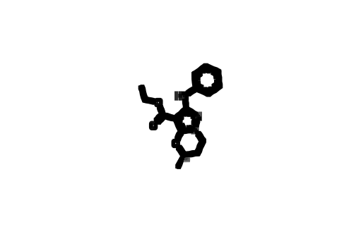 CCOC(=O)c1c(Nc2ccccc2)nn2c1O[C@H](C)CC2